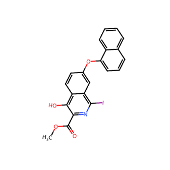 COC(=O)c1nc(I)c2cc(Oc3cccc4ccccc34)ccc2c1O